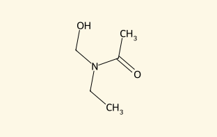 CCN(CO)C(C)=O